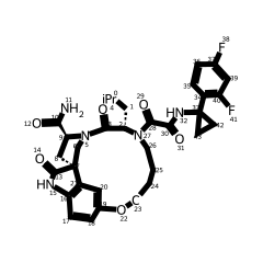 CC(C)C[C@H]1C(=O)N2C[C@]3(C[C@H]2C(N)=O)C(=O)Nc2ccc(cc23)OCCCCN1C(=O)C(=O)NC1(c2ccc(F)cc2F)CC1